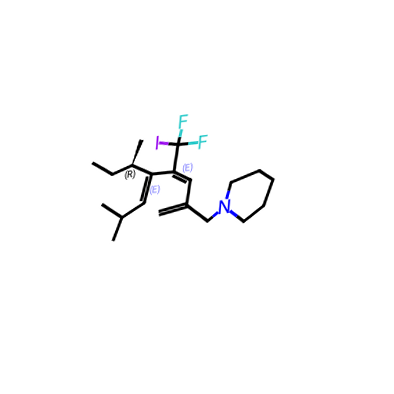 C=C(/C=C(\C(=C\C(C)C)[C@H](C)CC)C(F)(F)I)CN1CCCCC1